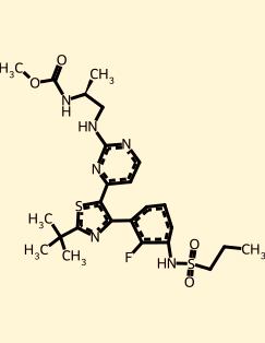 CCCS(=O)(=O)Nc1cccc(-c2nc(C(C)(C)C)sc2-c2ccnc(NC[C@H](C)NC(=O)OC)n2)c1F